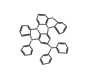 c1ccc(N(c2ccccc2)c2cc3c4c(c2)N2c5ccccc5Sc5cccc(c52)B4c2ccccc2N3c2ccccc2)cc1